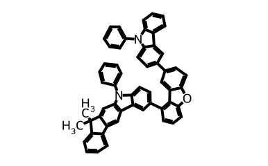 CC1(C)c2ccccc2-c2cc3c4cc(-c5cccc6oc7ccc(-c8ccc9c(c8)c8ccccc8n9-c8ccccc8)cc7c56)ccc4n(-c4ccccc4)c3cc21